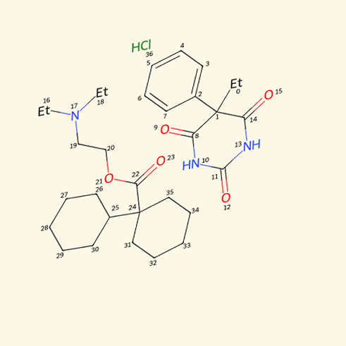 CCC1(c2ccccc2)C(=O)NC(=O)NC1=O.CCN(CC)CCOC(=O)C1(C2CCCCC2)CCCCC1.Cl